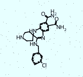 NC(=O)c1cc2c(cc1C(N)=O)NC1(CCNCC1)C(NCc1cccc(Cl)c1)=N2